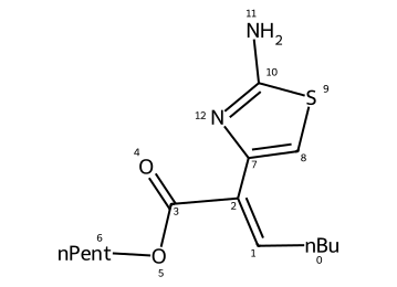 CCCC/C=C(/C(=O)OCCCCC)c1csc(N)n1